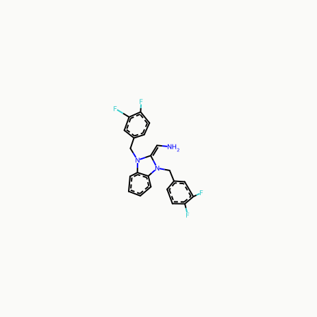 NC=C1N(Cc2ccc(F)c(F)c2)c2ccccc2N1Cc1ccc(F)c(F)c1